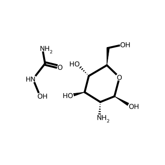 NC(=O)NO.N[C@@H]1[C@@H](O)[C@H](O)[C@@H](CO)O[C@H]1O